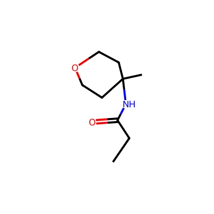 CCC(=O)NC1(C)CCOCC1